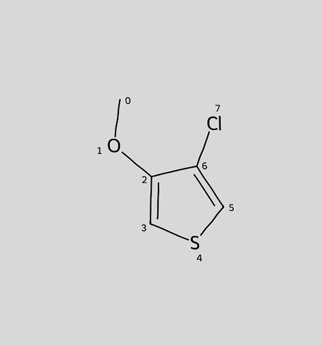 COc1cscc1Cl